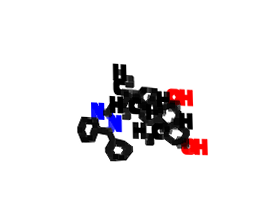 C[C@H](CCc1nc(-c2ccccc2)c2ccccc2n1)[C@H]1CC[C@H]2[C@H]3C(CC[C@]12C)[C@@]1(C)CC[C@@H](O)C[C@H]1C[C@H]3O